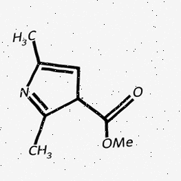 COC(=O)[C]1C=C(C)N=C1C